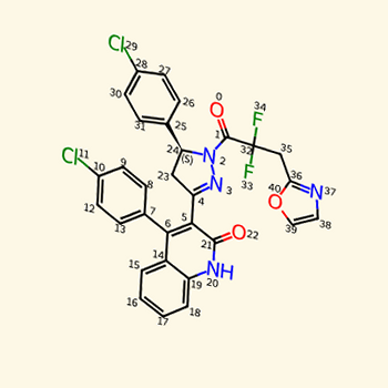 O=C(N1N=C(c2c(-c3ccc(Cl)cc3)c3ccccc3[nH]c2=O)C[C@H]1c1ccc(Cl)cc1)C(F)(F)Cc1ncco1